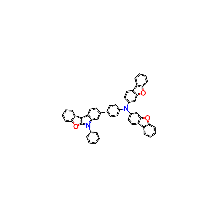 c1ccc(-n2c3cc(-c4ccc(N(c5ccc6c(c5)oc5ccccc56)c5ccc6c(c5)oc5ccccc56)cc4)ccc3c3c4ccccc4oc32)cc1